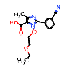 CCOCCOn1c(-c2cccc(C#N)c2)nc(C)c1C(=O)O